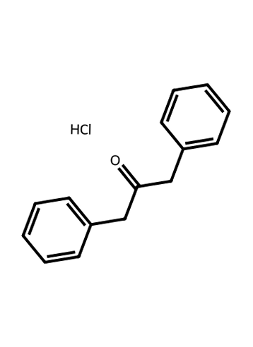 Cl.O=C(Cc1ccccc1)Cc1ccccc1